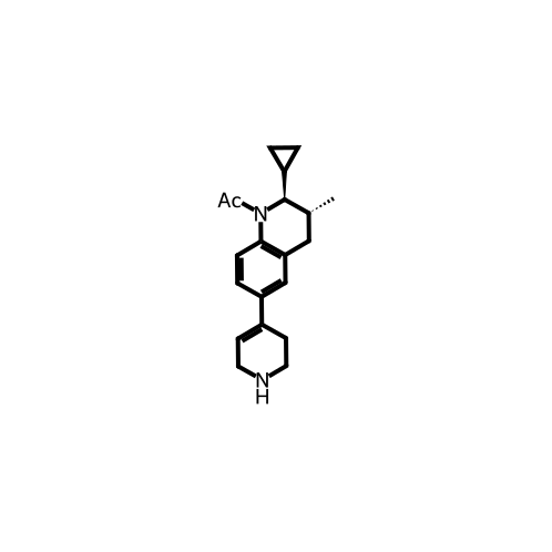 CC(=O)N1c2ccc(C3=CCNCC3)cc2C[C@@H](C)[C@@H]1C1CC1